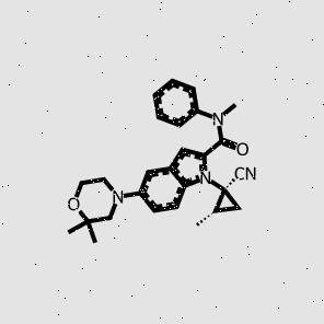 C[C@H]1C[C@]1(C#N)n1c(C(=O)N(C)c2ccccc2)cc2cc(N3CCOC(C)(C)C3)ccc21